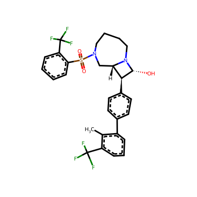 Cc1c(-c2ccc([C@@H]3[C@@H](O)N4CCCCN(S(=O)(=O)c5ccccc5C(F)(F)F)C[C@@H]34)cc2)cccc1C(F)(F)F